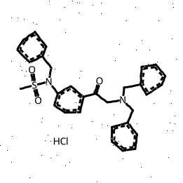 CS(=O)(=O)N(Cc1ccccc1)c1cccc(C(=O)CN(Cc2ccccc2)Cc2ccccc2)c1.Cl